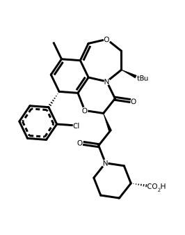 CC1=C[C@@H](c2ccccc2Cl)C2=C3C1=COC[C@@H](C(C)(C)C)N3C(=O)[C@@H](CC(=O)N1CCC[C@@H](C(=O)O)C1)O2